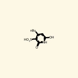 CCCCc1cc(O)[nH]c(=O)c1S(=O)(=O)O